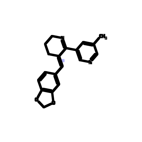 Cc1cncc(C2=NCCC/C2=C\c2ccc3c(c2)OCO3)c1